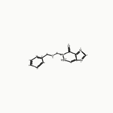 O=c1c2ncnc-2c[nH]n1COCc1ccccc1